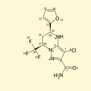 NC(=O)c1nn2c(c1Cl)N[C@H](c1ccco1)C[C@@H]2C(F)(F)F